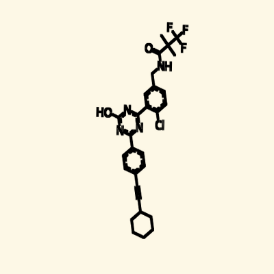 CC(C)(C(=O)NCc1ccc(Cl)c(-c2nc(O)nc(-c3ccc(C#CC4CCCCC4)cc3)n2)c1)C(F)(F)F